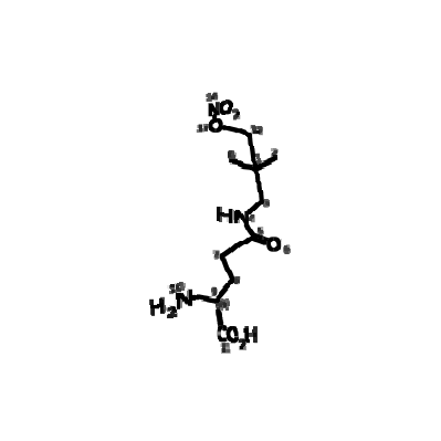 CC(C)(CNC(=O)CC[C@H](N)C(=O)O)CO[N+](=O)[O-]